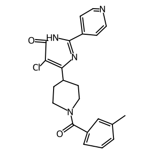 Cc1cccc(C(=O)N2CCC(c3nc(-c4ccncc4)[nH]c(=O)c3Cl)CC2)c1